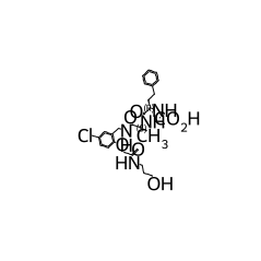 C[C@H](NC(=O)[C@@H](CCc1ccccc1)NC(=O)O)C(=O)NCc1cc(Cl)ccc1OCC(=O)NCCCO